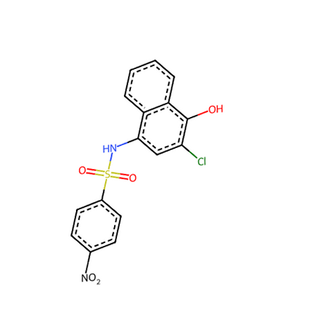 O=[N+]([O-])c1ccc(S(=O)(=O)Nc2cc(Cl)c(O)c3ccccc23)cc1